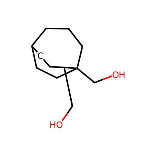 OCC1CCC2CCCC1(CO)CC2